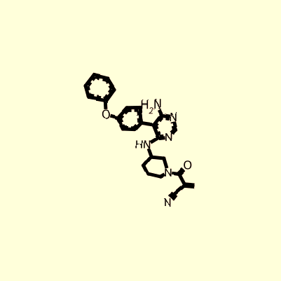 C=C(C#N)C(=O)N1CCCC(Nc2ncnc(N)c2-c2ccc(Oc3ccccc3)cc2)C1